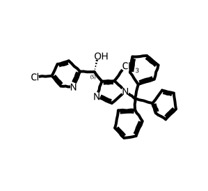 Cc1c([C@@H](O)c2ccc(Cl)cn2)ncn1C(c1ccccc1)(c1ccccc1)c1ccccc1